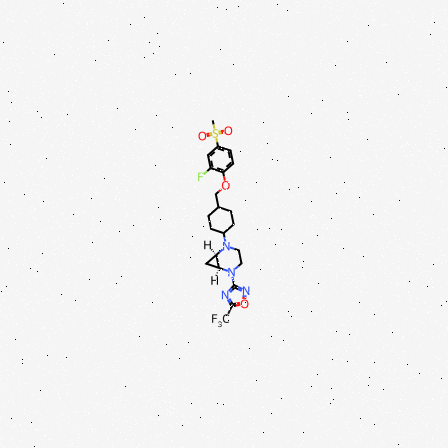 CS(=O)(=O)c1ccc(OCC2CCC(N3CCN(c4noc(C(F)(F)F)n4)[C@H]4C[C@H]43)CC2)c(F)c1